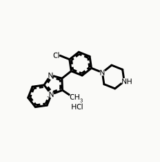 Cc1c(-c2cc(N3CCNCC3)ccc2Cl)nc2ccccn12.Cl